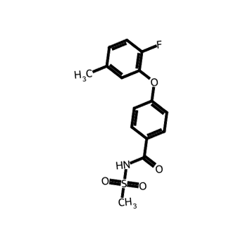 Cc1ccc(F)c(Oc2ccc(C(=O)NS(C)(=O)=O)cc2)c1